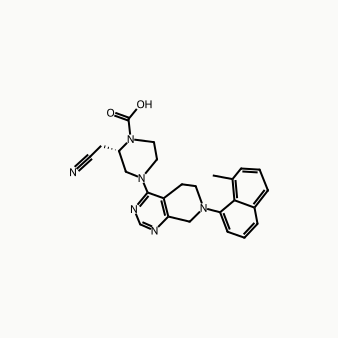 Cc1cccc2cccc(N3CCc4c(ncnc4N4CCN(C(=O)O)[C@@H](CC#N)C4)C3)c12